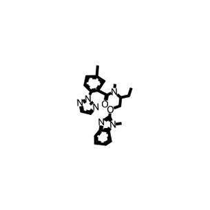 CCC(COc1nc2ccccc2n1C)N(C)C(=O)c1cc(C)ccc1-n1nccn1